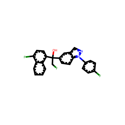 OC(CF)(c1ccc2c(cnn2-c2ccc(F)cc2)c1)c1ccc(F)c2ccccc12